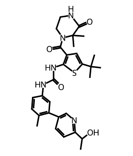 Cc1ccc(NC(=O)Nc2sc(C(C)(C)C)cc2C(=O)N2CCNC(=O)C2(C)C)cc1-c1ccc(C(C)O)nc1